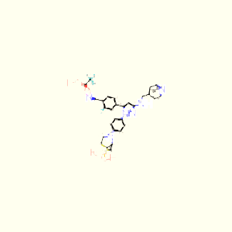 N#Cc1ccc(-c2cc(NCC34CCN(CC3)CC4)nn2-c2ccc(N3CC4CC3CS4(O)O)cc2)cc1F.O=C(O)C(F)(F)F